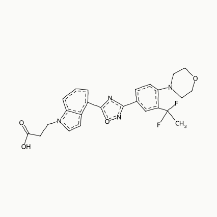 CC(F)(F)c1cc(-c2noc(-c3cccc4c3ccn4CCC(=O)O)n2)ccc1N1CCOCC1